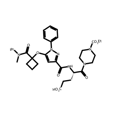 CCOC(=O)N1CCN(C(=O)[C@H](CCC(=O)O)NC(=O)c2cc(OC3(C(=O)N(C)C(C)C)CCC3)n(-c3ccccc3)n2)CC1